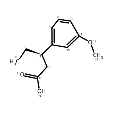 CC[C@H](CC(=O)O)c1cccc(OC)c1